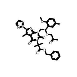 COc1ccc(F)cc1[C@H](Cn1c(=O)n(C(C)(C)C(=O)OCc2ccccc2)c(=O)c2c(C)c(-n3nccn3)sc21)OCC(C)=O